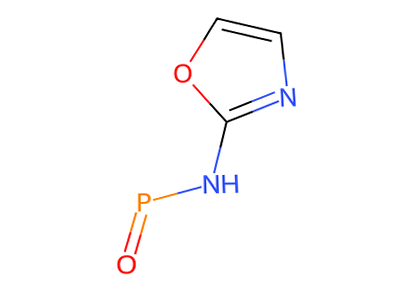 O=PNc1ncco1